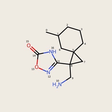 CC1CCCC2(C1)CC2(CN)c1noc(=O)[nH]1